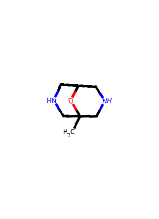 CC12CNCC(CNC1)O2